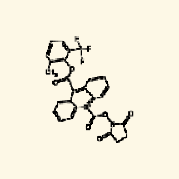 Cc1cccc(C(F)(F)F)c1OC(=O)c1c2ccccc2[n+](C(=O)ON2C(=O)CCC2=O)c2ccccc12